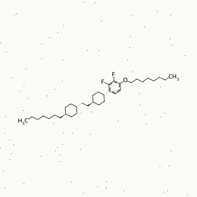 CCCCCCCCOc1ccc([C@H]2CC[C@H](CC[C@H]3CC[C@H](CCCCCCC)CC3)CC2)c(F)c1F